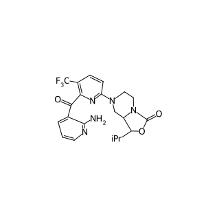 CC(C)C1OC(=O)N2CCN(c3ccc(C(F)(F)F)c(C(=O)c4cccnc4N)n3)CC12